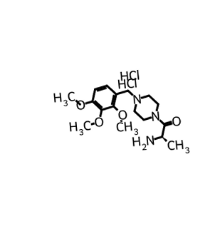 COc1ccc(CN2CCN(C(=O)[C@@H](C)N)CC2)c(OC)c1OC.Cl.Cl